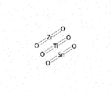 [O]=[Sn]=[O].[O]=[Ti]=[O].[O]=[Zr]=[O]